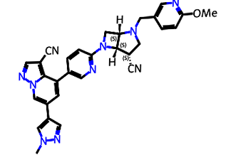 COc1ccc(CN2C[C@H](C#N)[C@H]3[C@@H]2CN3c2ccc(-c3cc(-c4cnn(C)c4)cn4ncc(C#N)c34)cn2)cn1